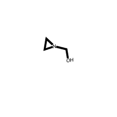 OCN1CC1